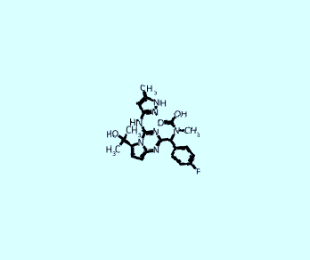 Cc1cc(Nc2nc(C(c3ccc(F)cc3)N(C)C(=O)O)nc3ccc(C(C)(C)O)n23)n[nH]1